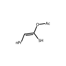 CCCC=C(S)OC(C)=O